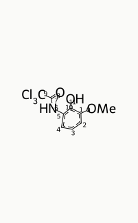 COc1cccc(NC(=O)C(Cl)(Cl)Cl)c1O